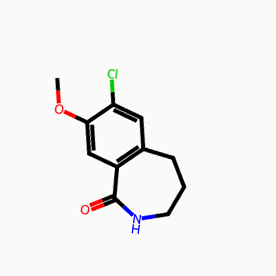 COc1cc2c(cc1Cl)CCCNC2=O